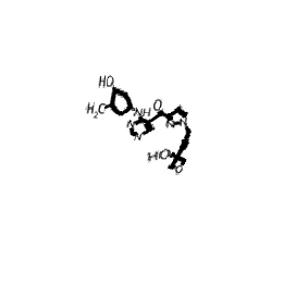 [CH2][C@@H]1C[C@@H](Nc2ncncc2C(=O)c2ccn(CC#CC3(O)COC3)n2)C[C@@H]1O